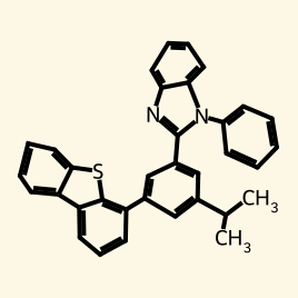 CC(C)c1cc(-c2cccc3c2sc2ccccc23)cc(-c2nc3ccccc3n2-c2ccccc2)c1